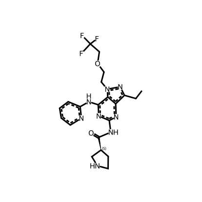 CCc1nn(CCOCC(F)(F)F)c2c(Nc3ccccn3)nc(NC(=O)[C@H]3CCNC3)nc12